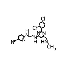 CCNCc1cc(NCCNc2ccc(C#N)cn2)nc(-c2ccc(Cl)cc2Cl)n1